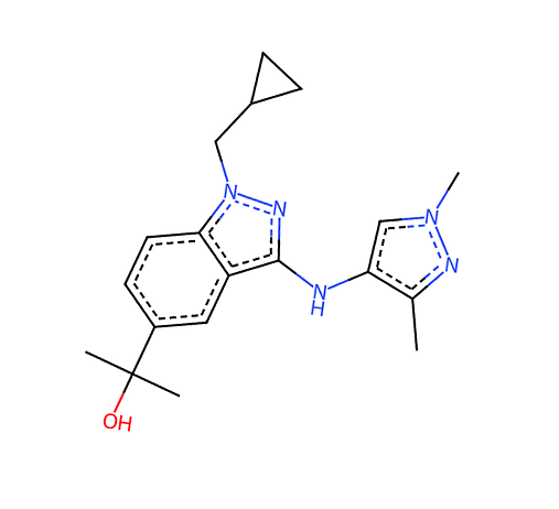 Cc1nn(C)cc1Nc1nn(CC2CC2)c2ccc(C(C)(C)O)cc12